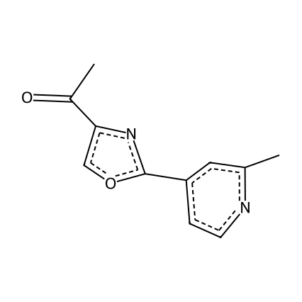 CC(=O)c1coc(-c2ccnc(C)c2)n1